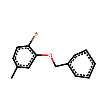 Cc1ccc(Br)c(OCc2ccccc2)c1